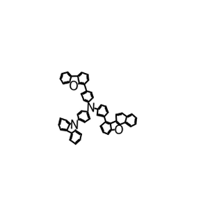 c1cc(-c2cccc3oc4c5ccccc5ccc4c23)cc(N(c2ccc(-c3cccc4c3oc3ccccc34)cc2)c2ccc(-n3c4ccccc4c4ccccc43)cc2)c1